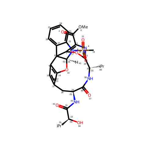 COC(=O)c1nc2oc1C13c4cc(ccc4O[C@@H]1N(S(C)(=O)=O)c1ccccc13)C[C@H](NC(=O)[C@@H](O)C(C)C)C(=O)N[C@H]2C(C)C